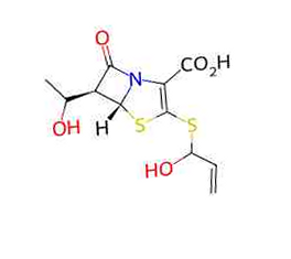 C=CC(O)SC1=C(C(=O)O)N2C(=O)[C@H](C(C)O)[C@H]2S1